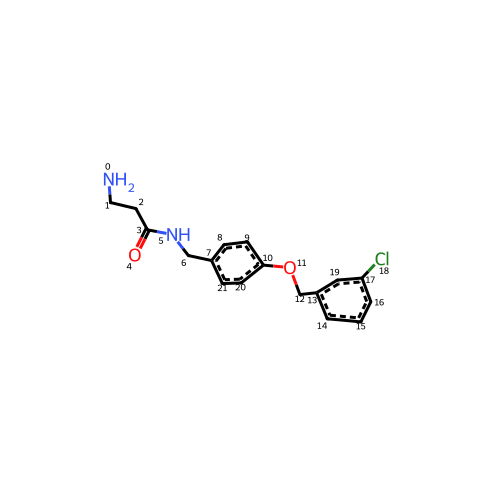 NCCC(=O)NCc1ccc(OCc2cccc(Cl)c2)cc1